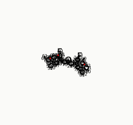 C=CC1=CC=C(C2(C3=CC(C)CC=C3C)c3cc(N(c4ccc(F)cc4)C4C=Cc5c(oc6cc(N(C7=CCC(F)C=C7)C7=CC8C(C=C7)C7CCC=CC7C8(C7=CCC(C=C)C=C7)C7CC(C)CC=C7C)ccc56)C4)ccc3C3C=CCCC32)CC1